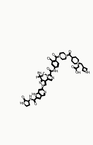 Cn1c(-c2cn(-c3cc4[nH]c(C(=O)NC5CCNC5=O)cc4cn3)nc2C(F)(F)F)cnc1C(=O)Nc1ccc(C(=O)N2CCN(C(=O)C3CC[N+](CC(=O)O)(CC4CNC4)CC3)CC2)c(Cl)c1